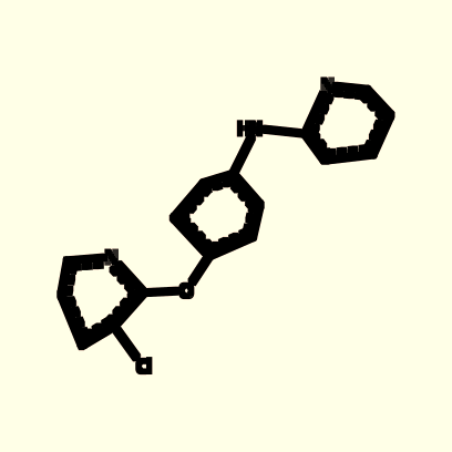 Clc1cccnc1Oc1ccc(Nc2ccccn2)cc1